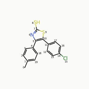 Cc1ccc(-c2nc(S)sc2-c2ccc(Cl)cc2)cc1